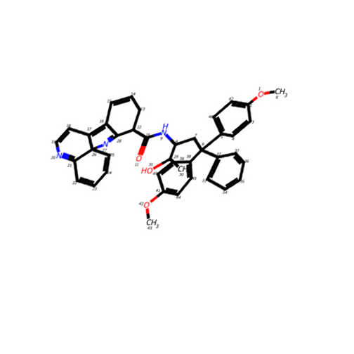 COc1ccc(C(CC(NC(=O)C2CC=CC3=C4C=CN=C5C=CC=CC54N=C32)C(C)O)(c2ccccc2)c2ccc(OC)cc2)cc1